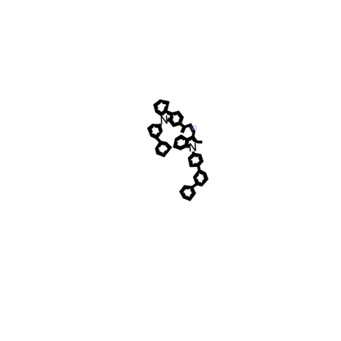 C=C(/C=C\c1c(C)n(-c2ccc(-c3cccc(-c4ccccc4)c3)cc2)c2ccccc12)c1ccc2c3ccccc3n(-c3cccc(-c4ccccc4)c3)c2c1